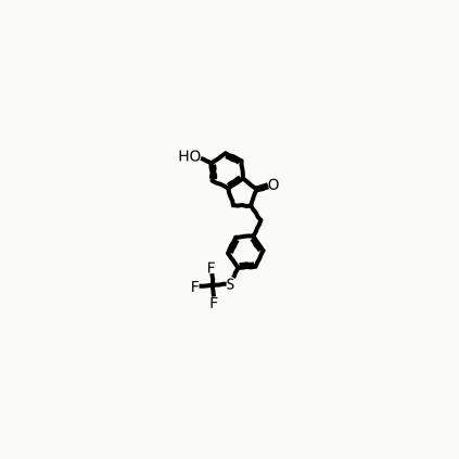 O=C1c2ccc(O)cc2CC1Cc1ccc(SC(F)(F)F)cc1